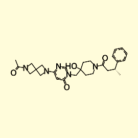 CC(=O)N1CC2(C1)CN(c1cc(=O)n(CC3(O)CCN(C(=O)C[C@@H](C)c4ccccc4)CC3)cn1)C2